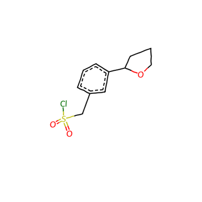 O=S(=O)(Cl)Cc1cccc(C2CCCO2)c1